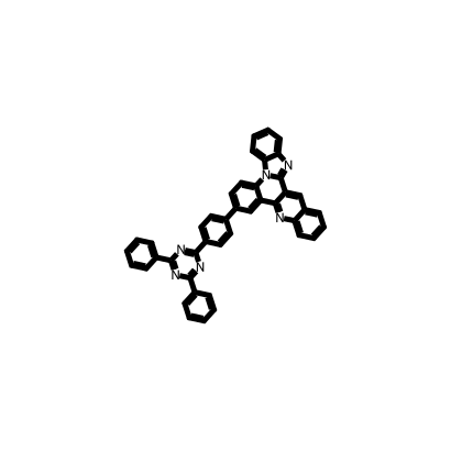 c1ccc(-c2nc(-c3ccccc3)nc(-c3ccc(-c4ccc5c(c4)c4nc6ccccc6cc4c4nc6ccccc6n54)cc3)n2)cc1